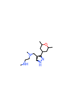 CNCCN(C)Cc1c[nH]nc1C1CC(C)OC(C)C1